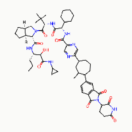 CCC[C@H](NC(=O)[C@@H]1[C@H]2CCC[C@H]2CN1C(=O)[C@@H](NC(=O)[C@@H](NC(=O)c1cnc(C2CCCC(c3ccc4c(c3)C(=O)N(C3CCC(=O)NC3=O)C4=O)C(C)C2)cn1)C1CCCCC1)C(C)(C)C)C(O)C(=O)NC1CC1